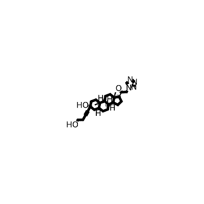 C[C@]12CC[C@](O)(C#CCCO)C[C@H]1CC[C@@H]1[C@@H]2CC[C@]2(C)[C@@H](C(=O)Cn3cnnn3)CC[C@@H]12